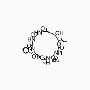 C/C=C(\C)[C@H]1OC(=O)[C@@H](C)NC(=O)C(C(C)CC)NC(=O)CN(C)C(=O)[C@@H](Cc2ccccc2)N(C)C(=O)[C@H](C)NC(=O)[C@@H](C)NC(=O)/C(C)=C/C[C@H](O)[C@@H]1C